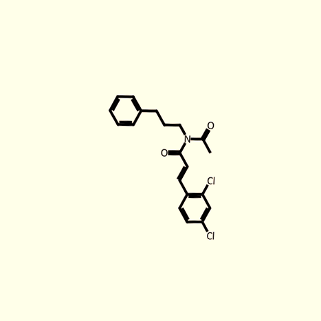 CC(=O)N(CCCc1ccccc1)C(=O)C=Cc1ccc(Cl)cc1Cl